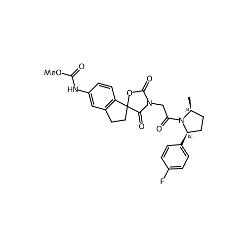 COC(=O)Nc1ccc2c(c1)CCC21OC(=O)N(CC(=O)N2[C@@H](C)CC[C@H]2c2ccc(F)cc2)C1=O